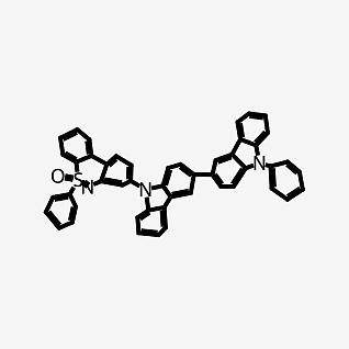 O=S1(c2ccccc2)=Nc2cc(-n3c4ccccc4c4cc(-c5ccc6c(c5)c5ccccc5n6-c5ccccc5)ccc43)ccc2-c2ccccc21